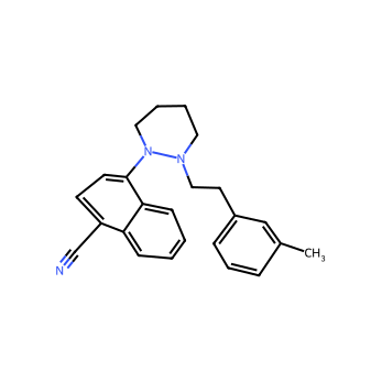 Cc1cccc(CCN2CCCCN2c2ccc(C#N)c3ccccc23)c1